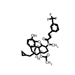 CC(=O)O[C@@]12CCC(N(C)C(=O)/C=C/c3cccc(C(F)(F)F)c3)C3Oc4c(O)ccc5c4[C@@]31CCN(CC1CC1)[C@@H]2C5